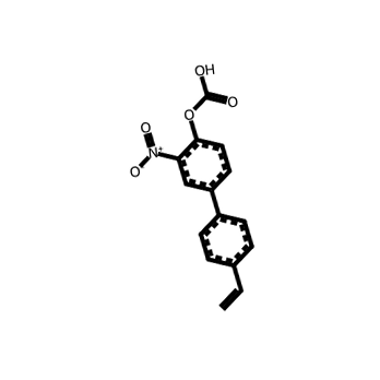 C=Cc1ccc(-c2ccc(OC(=O)O)c([N+](=O)[O-])c2)cc1